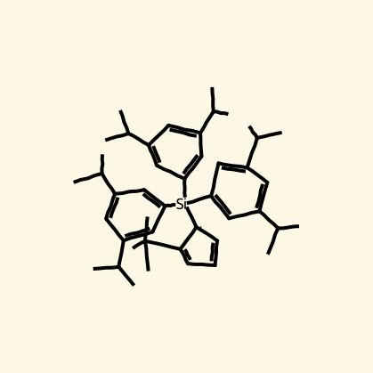 CC(C)c1cc(C(C)C)cc([Si]([C]2C=CC=C2C(C)(C)C)(c2cc(C(C)C)cc(C(C)C)c2)c2cc(C(C)C)cc(C(C)C)c2)c1